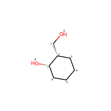 OC[C@@H]1CCCC[C@@H]1O